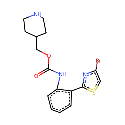 O=C(Nc1ccccc1-c1nc(Br)cs1)OCC1CCNCC1